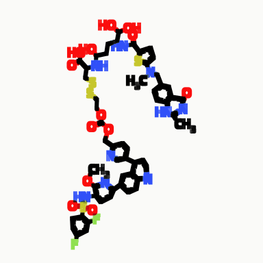 COc1nc(-c2ccc3nccc(-c4ccc(COC(=O)OCCSSCC(NC(O)CC[C@H](NC(=O)c5ccc(N(C)Cc6ccc7[nH]c(C)nc(=O)c7c6)s5)C(O)O)C(=O)O)nc4)c3c2)ccc1NS(=O)(=O)c1ccc(F)cc1F